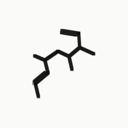 C=CC(C)C(C)CC(C)C=[C]C